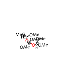 CO[SiH](OC)O[Si](OC)(OC)O[SiH](OC)OC